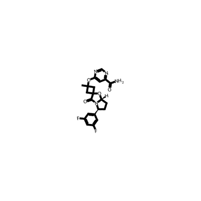 CC1(Oc2cc(C(N)=O)ncn2)CC2(C1)O[C@@H]1CC[C@@H](c3cc(F)cc(F)c3)N1C2=O